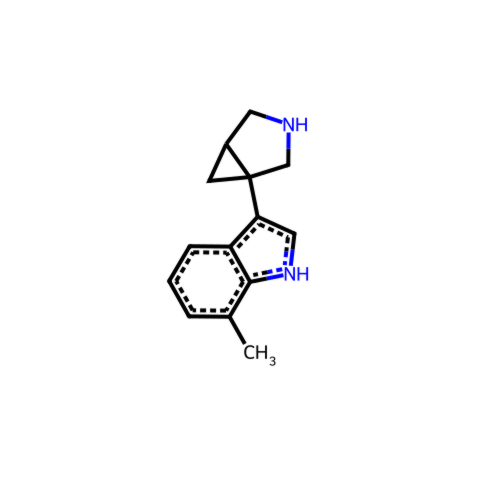 Cc1cccc2c(C34CNCC3C4)c[nH]c12